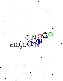 CCOC(=O)C1CCN(c2ncnc(Oc3ccc(Cl)cc3)c2[N+](=O)[O-])CC1